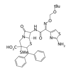 CSC1(C(=O)O)CN2C(=O)C(NC(=O)C(=NOCOC(C)(C)C)c3csc(N)n3)[C@H]2SC1C(c1ccccc1)c1ccccc1